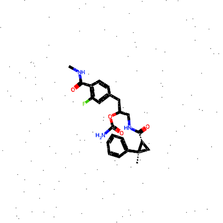 CNC(=O)c1ccc(CC(CNC(=O)[C@@H]2C[C@@]2(C)c2ccccc2)OC(N)=O)cc1F